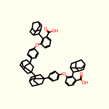 O=C(O)c1cccc(Oc2ccc(C34CC5CC(C3)CC(C36CC7CC(CC(c8ccc(Oc9cccc(C(=O)O)c9C9C%10CC%11CC(C%10)CC9C%11)cc8)(C7)C3)C6)(C5)C4)cc2)c1C1C2CC3CC(C2)CC1C3